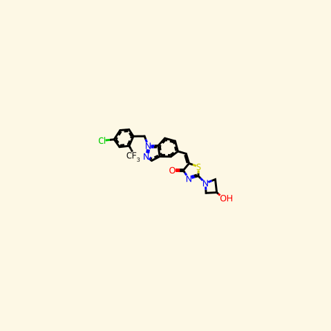 O=C1N=C(N2CC(O)C2)SC1=Cc1ccc2c(cnn2Cc2ccc(Cl)cc2C(F)(F)F)c1